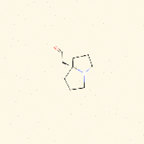 O=CC[C@@]12CCCN1C[C@H](F)C2